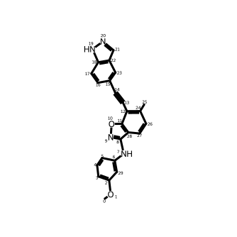 COc1cccc(Nc2noc3c(C#Cc4ccc5[nH]ncc5c4)c(C)ccc23)c1